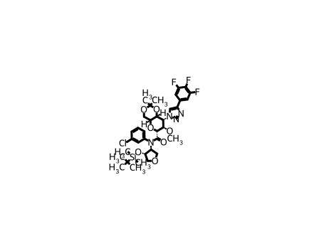 CO[C@@H]1[C@@H](n2cc(-c3cc(F)c(F)c(F)c3)nn2)[C@H]2OC(C)(C)OC[C@H]2O[C@H]1C(=O)N(c1cccc(Cl)c1)[C@H]1COC[C@@H]1O[Si](C)(C)C(C)(C)C